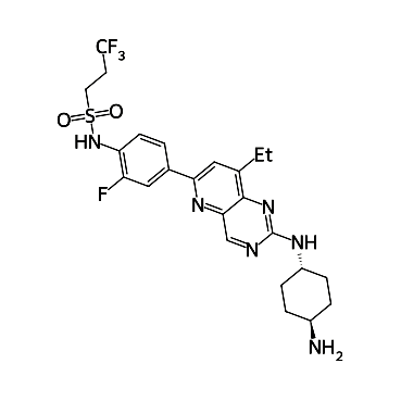 CCc1cc(-c2ccc(NS(=O)(=O)CCC(F)(F)F)c(F)c2)nc2cnc(N[C@H]3CC[C@H](N)CC3)nc12